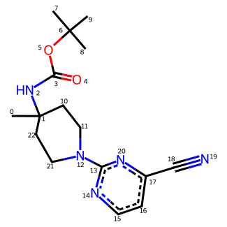 CC1(NC(=O)OC(C)(C)C)CCN(c2nccc(C#N)n2)CC1